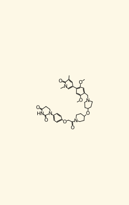 COc1cc(-c2cc(C)c(=O)n(C)c2)c(OC)cc1CN1CCC(OC2CCN(C(=O)COc3ccc(N4CCC(=O)NC4=O)cc3)CC2)CC1